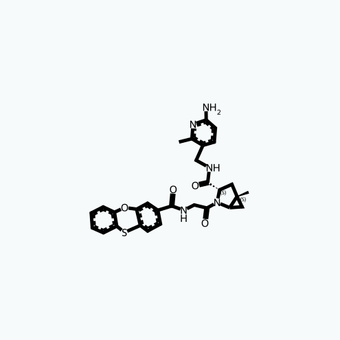 Cc1nc(N)ccc1CNC(=O)[C@@H]1C[C@]2(C)CC2N1C(=O)CNC(=O)c1ccc2c(c1)Oc1ccccc1S2